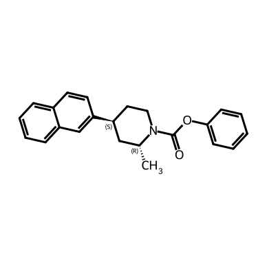 C[C@@H]1C[C@@H](c2ccc3ccccc3c2)CCN1C(=O)Oc1ccccc1